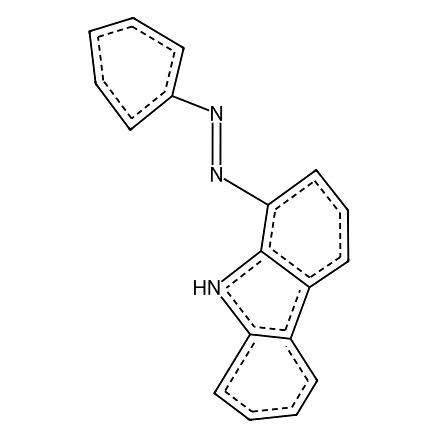 c1ccc(N=Nc2cccc3c2[nH]c2ccccc23)cc1